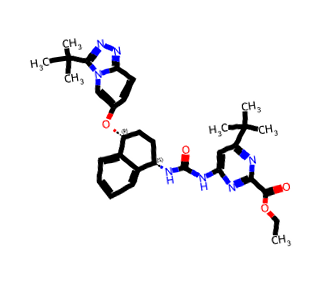 CCOC(=O)c1nc(NC(=O)N[C@H]2CC[C@@H](Oc3ccc4nnc(C(C)(C)C)n4c3)c3ccccc32)cc(C(C)(C)C)n1